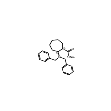 COC(=O)[C@@H]1CCCCC[C@@H]1N(Cc1ccccc1)Cc1ccccc1